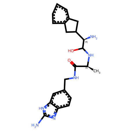 C[C@H](NC(O)[C@H](N)C1Cc2ccccc2C1)C(=O)NCc1ccc2nc(N)[nH]c2c1